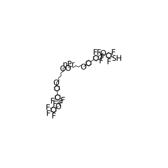 CCCC(OCCCCCOc1ccc(-c2cc(F)c(C(F)(F)Oc3cc(F)c(F)c(F)c3)c(F)c2)cc1)OCCCCCOc1ccc(-c2cc(F)c(C(F)(F)Oc3cc(F)c(S)c(F)c3)c(F)c2)cc1